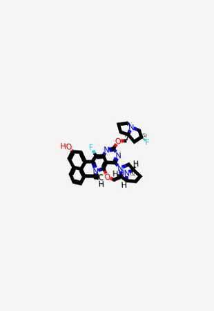 C#Cc1cccc2cc(O)cc(-c3nc4c5c(nc(OC[C@]67CCCN6C[C@@H](F)C7)nc5c3F)N3C[C@@H]5CC[C@@H](N5)[C@@H]3CO4)c12